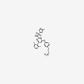 Cc1cccc(C)c1-c1cc(Oc2ccc(CCCN)cc2)nc(NS(=O)(=O)c2cnn(C)c2)n1